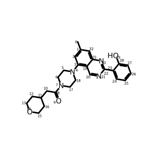 Cc1cc(N2CCN(C(=O)CC3CCOCC3)CC2)c2cnc(-c3ccccc3O)nc2c1